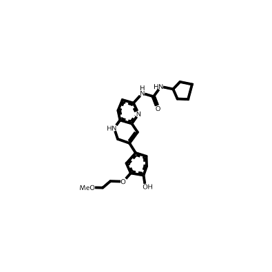 COCCOc1cc(C2=Cc3nc(NC(=O)NC4CCCC4)ccc3NC2)ccc1O